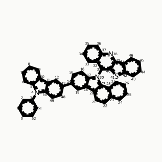 c1ccc(-n2c3ccccc3c3cc(-c4ccc5c(c4)c4ccc6ccccc6c4n5-c4c5ccccc5nc5c4sc4ccccc45)ccc32)cc1